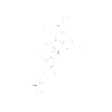 CC(C)C[C@H](NC(=O)[C@H](CO)NC(=O)CN)C(=O)N[C@H](C(=O)N[C@@H](CCCNC(N)=O)C(=O)O)C(C)C